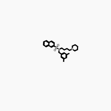 Cc1cc(C)cc(CN(CCCCN2CCCCC2)S(=O)(=O)c2ccc3ccccc3c2)c1